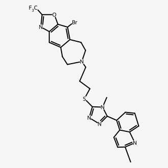 Cc1ccc2c(-c3nnc(SCCCN4CCc5cc6nc(C(F)(F)F)oc6c(Br)c5CC4)n3C)cccc2n1